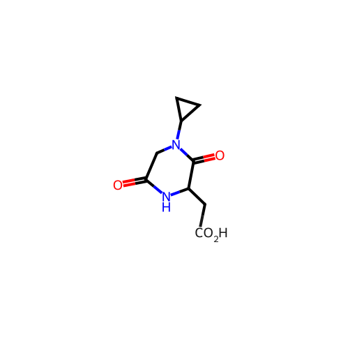 O=C(O)CC1NC(=O)CN(C2CC2)C1=O